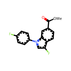 COC(=O)c1ccc2c(F)cn(-c3ccc(F)cc3)c2c1